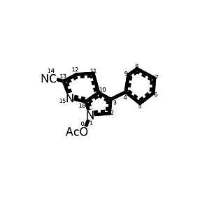 CC(=O)On1cc(-c2ccccc2)c2ccc(C#N)nc21